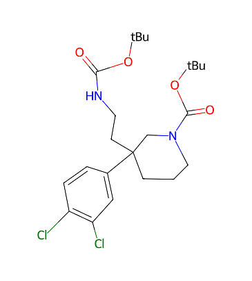 CC(C)(C)OC(=O)NCCC1(c2ccc(Cl)c(Cl)c2)CCCN(C(=O)OC(C)(C)C)C1